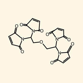 O=C1C=CC(=O)N1C(COCC(N1C(=O)C=CC1=O)N1C(=O)C=CC1=O)N1C(=O)C=CC1=O